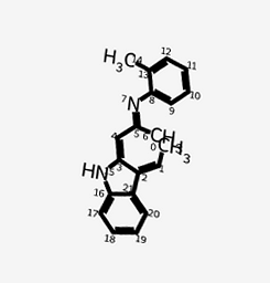 C\C=c1/c(=C\C(C)=N\c2ccccc2C)[nH]c2ccccc12